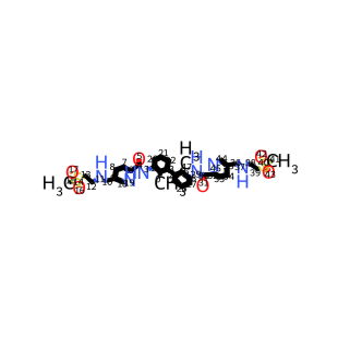 Cc1c(NC(=O)c2ccc(CNCCS(C)(=O)=O)cn2)cccc1-c1cccc(NC(=O)c2ccc(CNCCS(C)(=O)=O)cn2)c1C